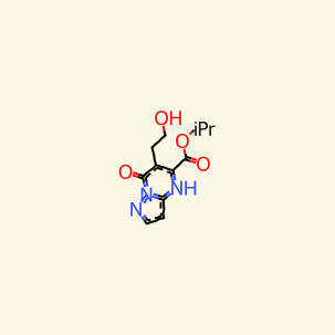 CC(C)OC(=O)c1[nH]c2ccnn2c(=O)c1CCO